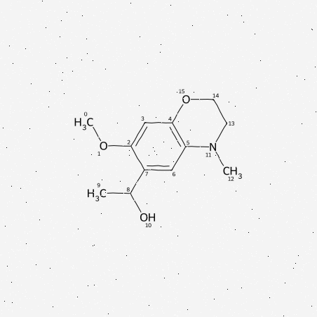 COc1cc2c(cc1C(C)O)N(C)CCO2